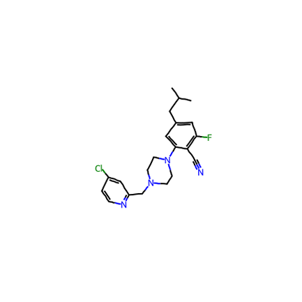 CC(C)Cc1cc(F)c(C#N)c(N2CCN(Cc3cc(Cl)ccn3)CC2)c1